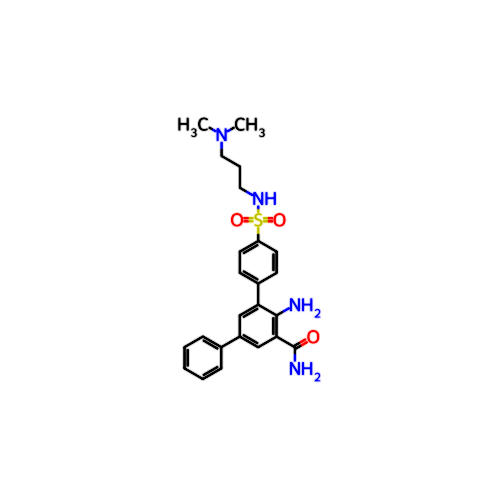 CN(C)CCCNS(=O)(=O)c1ccc(-c2cc(-c3ccccc3)cc(C(N)=O)c2N)cc1